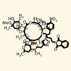 CC[C@H]1CN(CCCCN2C(=O)c3ccccc3C2=O)[C@H](C)[C@@H](O)[C@](C)(O)[C@@H](CC)OC(=O)[C@H](C)[C@@H](O[C@H]2C[C@@](C)(OC)[C@@H](O)[C@H](C)O2)[C@H](C)[C@@H](O[C@@H]2O[C@H](C)C[C@H](N(C)CCc3cn(CCc4ccc([N+](=O)[O-])cc4)nn3)[C@H]2O)[C@](C)(O)C1